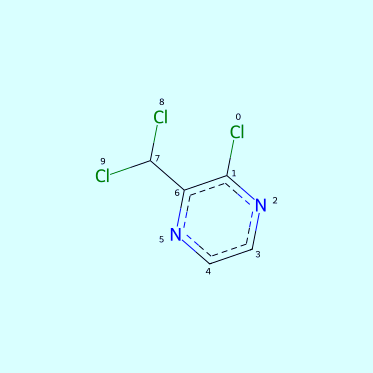 Clc1nccnc1C(Cl)Cl